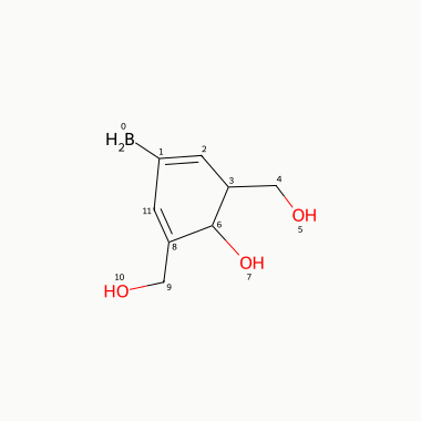 BC1=CC(CO)C(O)C(CO)=C1